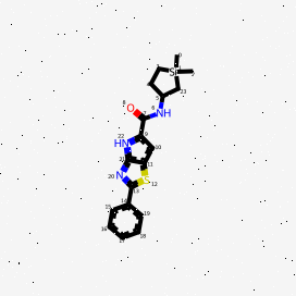 C[Si]1(C)CCC(NC(=O)c2cc3sc(-c4ccccc4)nc3[nH]2)C1